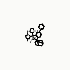 PCC1(c2ccc(-c3ccccc3)cc2C(P)(C2CCCN2)C2CCCN2)C2CC3CC(C2)CC1C3